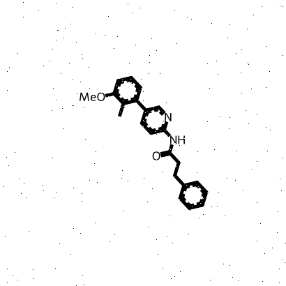 COc1cccc(-c2ccc(NC(=O)CCc3ccccc3)nc2)c1C